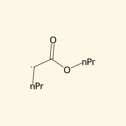 [CH2]CC[CH]C(=O)OCCC